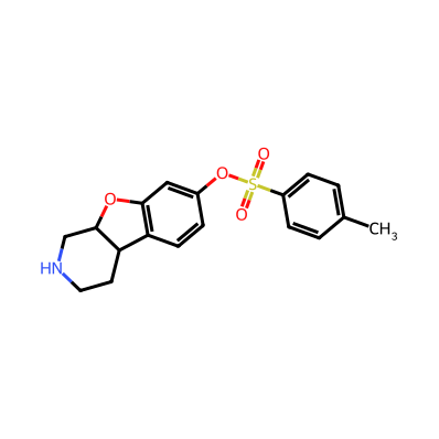 Cc1ccc(S(=O)(=O)Oc2ccc3c(c2)OC2CNCCC32)cc1